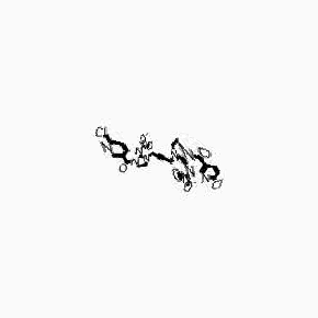 O=C(c1ccc(Cl)nc1)N1CCN(CC#CCN2CCN(C(=O)c3ccc(Cl)nc3)C2=N[N+](=O)[O-])C1=N[N+](=O)[O-]